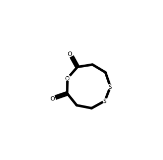 O=C1CCSSCCC(=O)O1